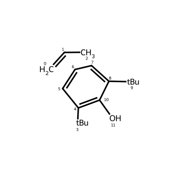 C=CC.CC(C)(C)c1cccc(C(C)(C)C)c1O